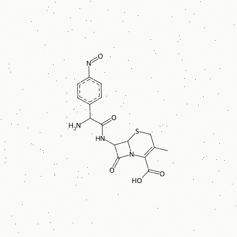 CC1=C(C(=O)O)N2C(=O)C(NC(=O)C(N)c3ccc(N=O)cc3)C2SC1